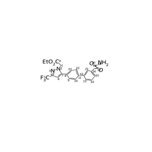 CCOC(=O)Cn1nc(C(F)(F)F)cc1-c1ccc(-c2cccc(S(N)(=O)=O)c2)cc1